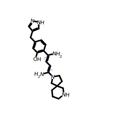 N/C(=C\C=C(/N)N1CCC2(CCCNC2)C1)c1ccc(Cc2cn[nH]c2)cc1O